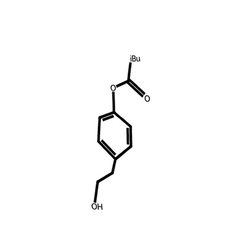 CCC(C)C(=O)Oc1ccc(CCO)cc1